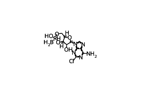 B[PH]1(O)OC[C@H]2O[C@@H](n3cnc4c(N)nc(Cl)nc43)C(O)[C@H]2O1